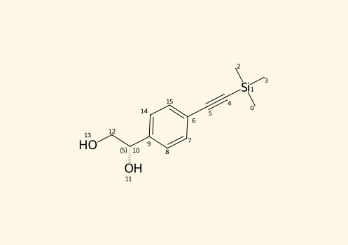 C[Si](C)(C)C#Cc1ccc([C@H](O)CO)cc1